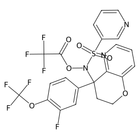 O=C(ON(C1(c2ccc(OC(F)(F)F)c(F)c2)CCOc2cccnc21)S(=O)(=O)c1cccnc1)C(F)(F)F